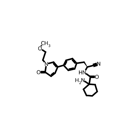 COCCn1cc(-c2ccc(C[C@@H](C#N)NC(=O)C3(N)CCCCC3)cc2)ccc1=O